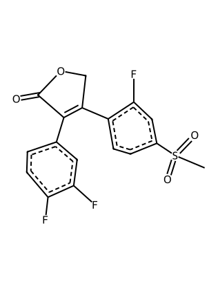 CS(=O)(=O)c1ccc(C2=C(c3ccc(F)c(F)c3)C(=O)OC2)c(F)c1